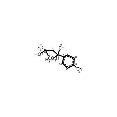 CC(C)(CC(O)(C(=O)O)C(F)(F)F)c1ccc(C#N)cc1